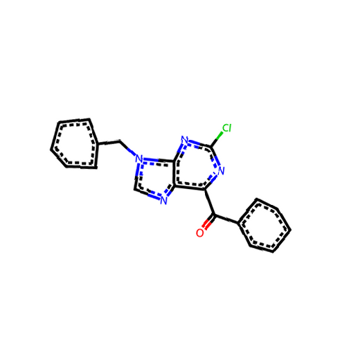 O=C(c1ccccc1)c1nc(Cl)nc2c1ncn2Cc1ccccc1